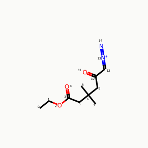 CCOC(=O)CC(C)(C)CC(=O)C=[N+]=[N-]